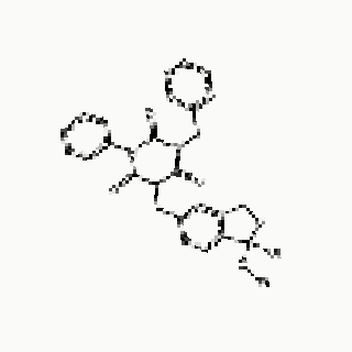 CCOC1(O)OCc2cc(CC3C(=O)N(Cc4ccccc4)C(=O)N(c4ccccc4)C3=O)ccc21